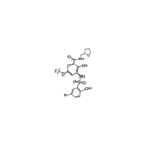 O=C(NCC1CCCO1)c1cc(OC(F)(F)F)cc(NS(=O)(=O)c2cc(Br)ccc2O)c1O